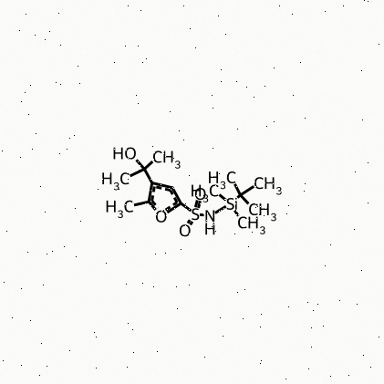 Cc1oc(S(=O)(=O)N[Si](C)(C)C(C)(C)C)cc1C(C)(C)O